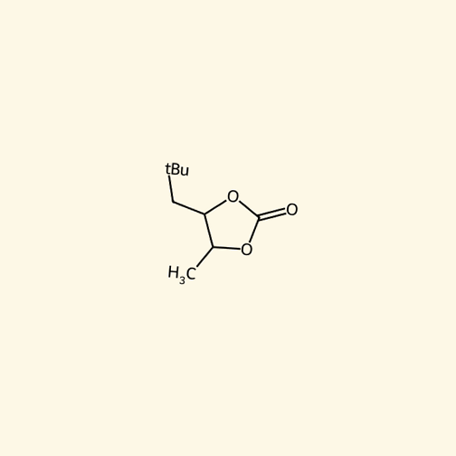 CC1OC(=O)OC1CC(C)(C)C